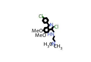 COc1cc2c(-c3ccc(Cl)cc3)nc(Cl)c(CNCCCN(C)C)c2cc1OC